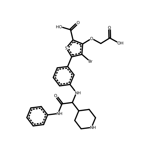 O=C(O)COc1c(C(=O)O)sc(-c2cccc(NC(C(=O)Nc3ccccc3)C3CCNCC3)c2)c1Br